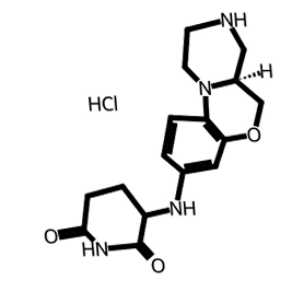 Cl.O=C1CCC(Nc2ccc3c(c2)OC[C@@H]2CNCCN32)C(=O)N1